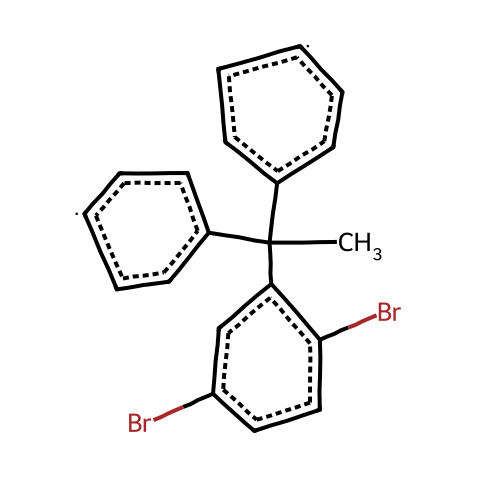 CC(c1cc[c]cc1)(c1cc[c]cc1)c1cc(Br)ccc1Br